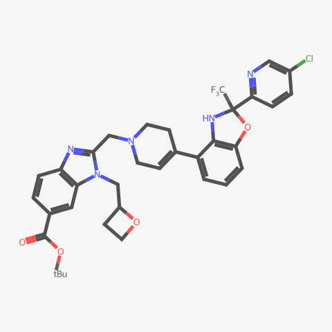 CC(C)(C)OC(=O)c1ccc2nc(CN3CC=C(c4cccc5c4NC(c4ccc(Cl)cn4)(C(F)(F)F)O5)CC3)n(CC3CCO3)c2c1